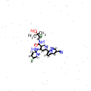 CC(C)(O)[C@H](F)CNC(=O)c1cnc(-c2ccc3cc(C#N)cnn23)cc1Nc1ccc(F)cn1